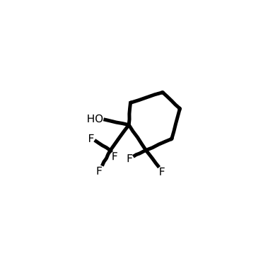 OC1(C(F)(F)F)CCCCC1(F)F